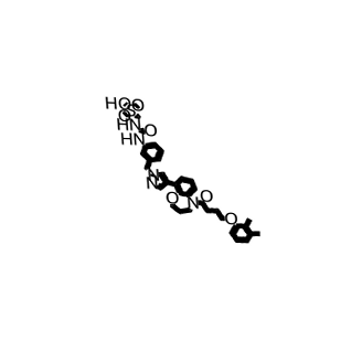 Cc1cccc(OCCCC(=O)N2CCCOc3c(-c4cnn(Cc5cccc(NC(=O)NCS(=O)(=O)O)c5)c4)cccc32)c1C